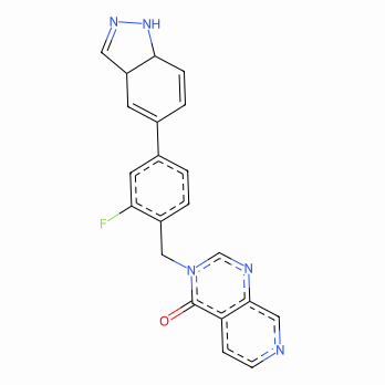 O=c1c2ccncc2ncn1Cc1ccc(C2=CC3C=NNC3C=C2)cc1F